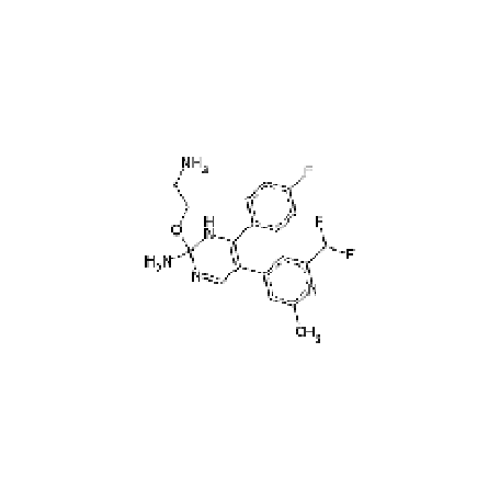 Cc1cc(C2=C(c3ccc(F)cc3)NC(N)(OCCN)N=C2)cc(C(F)F)n1